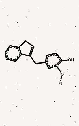 CCOc1cc(CC2=CCc3ccccc32)ccc1O